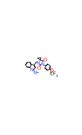 CN(C)c1cc(CN2C(=O)N(c3ccc(OC(F)(F)F)cc3)C(=O)C23CC3)c2ccccc2n1